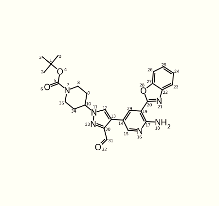 CC(C)(C)OC(=O)N1CCC(n2cc(-c3cnc(N)c(-c4nc5ccccc5o4)c3)c(C=O)n2)CC1